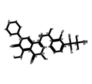 COc1c(=O)n(C2CCOCC2)cc2c(NC(C)c3cccc(C(F)(F)C(C)(C)O)c3F)nn(C)c(=O)c12